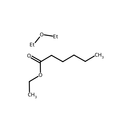 CCCCCC(=O)OCC.CCOCC